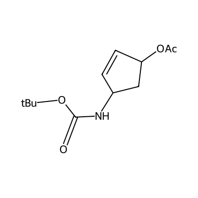 CC(=O)OC1C=CC(NC(=O)OC(C)(C)C)C1